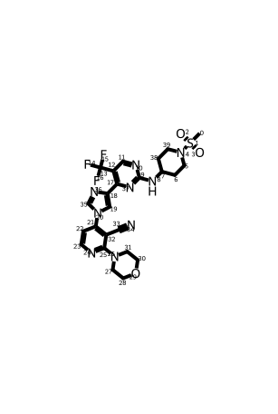 CS(=O)(=O)N1CCC(Nc2ncc(C(F)(F)F)c(-c3cn(-c4ccnc(N5CCOCC5)c4C#N)cn3)n2)CC1